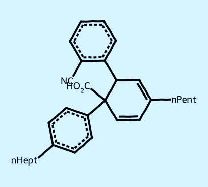 CCCCCCCc1ccc(C2(C(=O)O)C=CC(CCCCC)=CC2c2ccccc2C#N)cc1